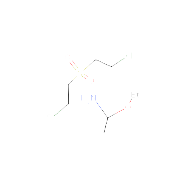 CCOC(C)N.O=S(=O)(CCCl)CCCl